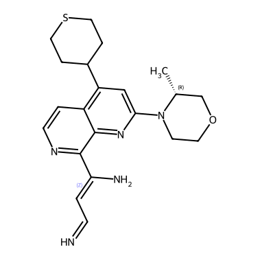 C[C@@H]1COCCN1c1cc(C2CCSCC2)c2ccnc(/C(N)=C/C=N)c2n1